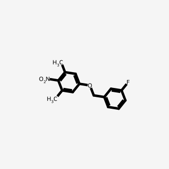 Cc1cc(OCc2cccc(F)c2)cc(C)c1[N+](=O)[O-]